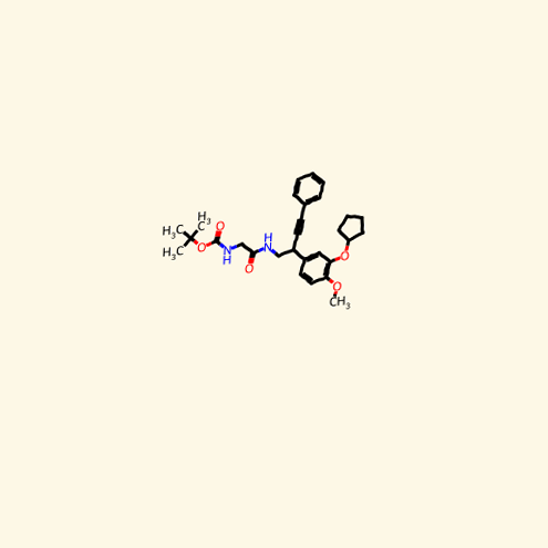 COc1ccc(C(C#Cc2ccccc2)CNC(=O)CNC(=O)OC(C)(C)C)cc1OC1CCCC1